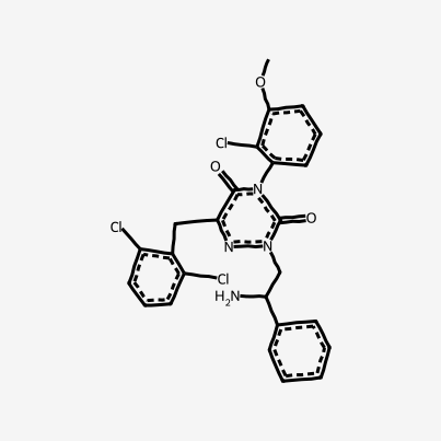 COc1cccc(-n2c(=O)c(Cc3c(Cl)cccc3Cl)nn(CC(N)c3ccccc3)c2=O)c1Cl